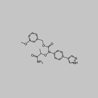 COc1cccc(COC(=O)N(OC(C)C(N)=O)c2ccc(-c3cn[nH]c3)cc2)c1